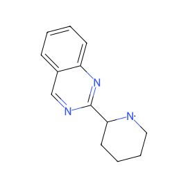 c1ccc2nc(C3CCCC[N]3)ncc2c1